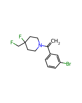 C=C(c1cccc(Br)c1)N1CCC(F)(CF)CC1